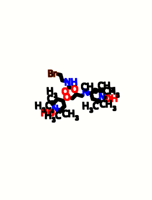 CN(CC(COC1CC(C)(C)N(O)C(C)(C)C1)OC(=O)NCCBr)C1CC(C)(C)N(O)C(C)(C)C1